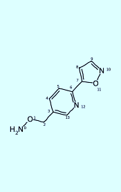 NOCc1ccc(-c2ccno2)nc1